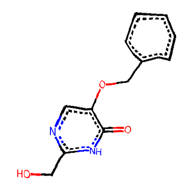 O=c1[nH]c(CO)ncc1OCc1ccccc1